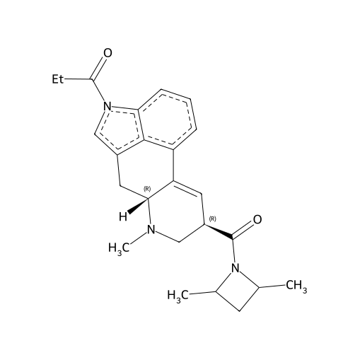 CCC(=O)n1cc2c3c(cccc31)C1=C[C@@H](C(=O)N3C(C)CC3C)CN(C)[C@@H]1C2